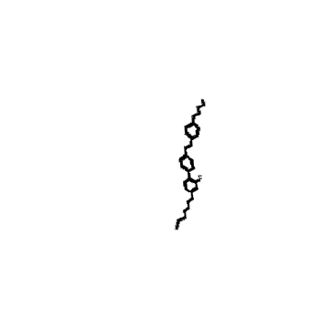 CCCCCCCc1ccc(-c2ccc(CCc3ccc(CCCCC)cc3)cc2)c(F)c1